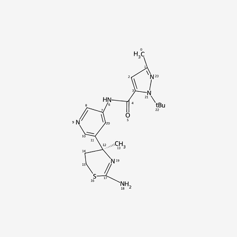 Cc1cc(C(=O)Nc2cncc([C@]3(C)CCSC(N)=N3)c2)n(C(C)(C)C)n1